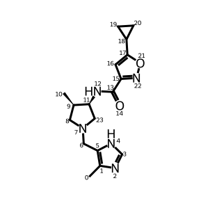 Cc1nc[nH]c1CN1C[C@@H](C)[C@@H](NC(=O)c2cc(C3CC3)on2)C1